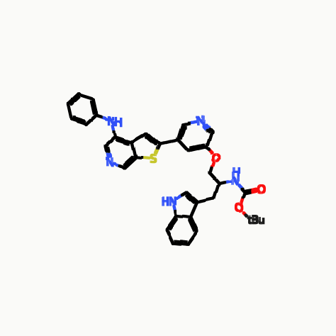 CC(C)(C)OC(=O)NC(COc1cncc(-c2cc3c(Nc4ccccc4)cncc3s2)c1)Cc1c[nH]c2ccccc12